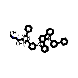 C/C=C\C=C(/C)c1nc(-c2ccccc2)nc(-c2cccc(-n3c4ccccc4c4c3ccc3c5ccccc5n(-c5cccc(-c6ccccc6)c5)c34)c2)n1